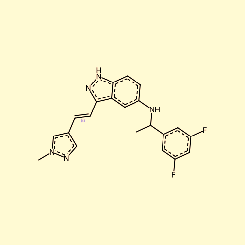 CC(Nc1ccc2[nH]nc(/C=C/c3cnn(C)c3)c2c1)c1cc(F)cc(F)c1